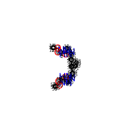 CC(C)[C@H](NC(=O)Oc1ccccc1)C(=O)N1CCC[C@H]1c1ncc(-c2ccc(-c3ccc(-c4ccc5nc([C@@H]6CCCN6C(=O)[C@@H](NC(=O)Oc6ccccc6)C(C)C)[nH]c5c4)c4c3C3(CCCC3)CC4)cc2)[nH]1